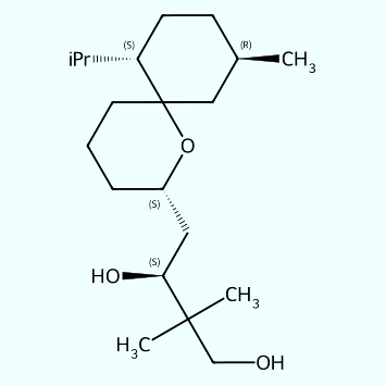 CC(C)[C@@H]1CC[C@@H](C)CC12CCC[C@@H](C[C@H](O)C(C)(C)CO)O2